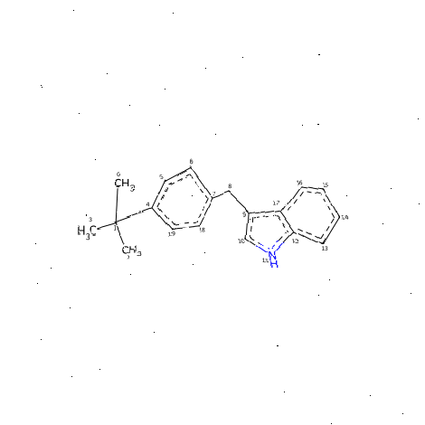 CC(C)(C)c1ccc(Cc2c[nH]c3ccccc23)cc1